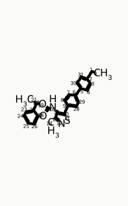 CCc1ccc(-c2ccc(-c3snc(C)c3NC(=O)O[C@H](C)c3ccccc3)cc2)cc1